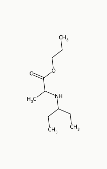 CCCOC(=O)C(C)NC(CC)CC